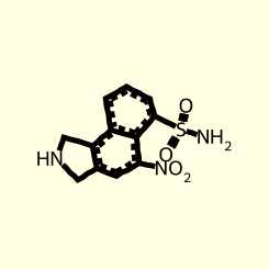 NS(=O)(=O)c1cccc2c3c(cc([N+](=O)[O-])c12)CNC3